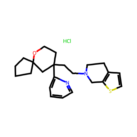 Cl.c1ccc(C2(CCN3CCc4ccsc4C3)CCOC3(CCCC3)C2)nc1